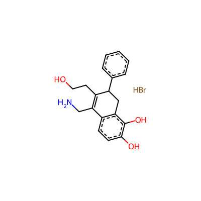 Br.NCC1=C(CCO)C(c2ccccc2)Cc2c1ccc(O)c2O